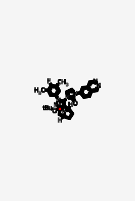 Cc1cc(-n2nc3c(c2-n2ccn(-c4ccc5cnncc5c4)c2=O)[C@@H]2CC[C@H](C3)N2C(=O)OC(C)(C)C)cc(C)c1F